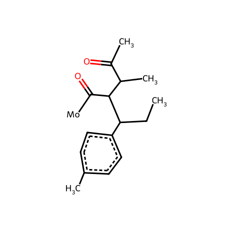 CCC(c1ccc(C)cc1)C([C](=O)[Mo])C(C)C(C)=O